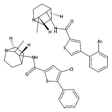 CC(=O)c1ccccc1-c1csc(C(=O)N[C@@H]2C3CCN(CC3)[C@H]2C)c1.C[C@H]1[C@H](NC(=O)c2cc(Cl)c(-c3ccccc3)s2)C2CCN1CC2